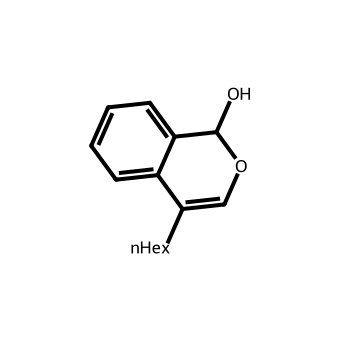 [CH2]CCCCCC1=COC(O)c2ccccc21